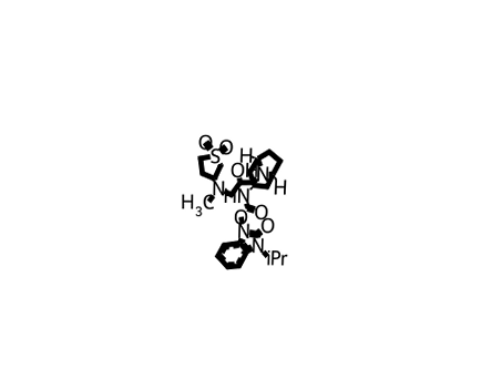 CC(C)n1c(=O)n(OC(=O)N[C@@H]2C[C@H]3CC[C@@H](C2)N3CC(O)CN(C)C2CCS(=O)(=O)C2)c2ccccc21